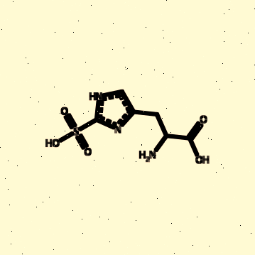 NC(Cc1c[nH]c(S(=O)(=O)O)n1)C(=O)O